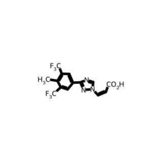 Cc1c(C(F)(F)F)cc(-c2ncn(/C=C\C(=O)O)n2)cc1C(F)(F)F